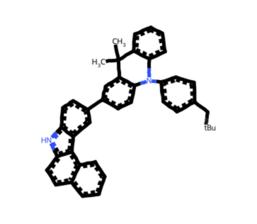 CC(C)(C)Cc1ccc(N2c3ccccc3C(C)(C)c3cc(-c4ccc5[nH]c6ccc7ccccc7c6c5c4)ccc32)cc1